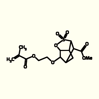 C=C(C)C(=O)OCCOC1C2CC3C1OS(=O)(=O)C3C2C(=O)OC